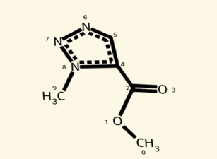 COC(=O)c1cnnn1C